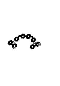 c1ccc2c(c1)c1cnccc1n2-c1ccc(Cc2ccc(-c3ccc(Cc4ccc(-n5c6ccccc6c6cnccc65)cc4)cc3)cc2)cc1